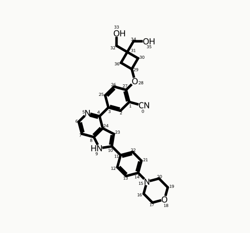 N#Cc1cc(-c2nccc3[nH]c(-c4ccc(N5CCOCC5)cc4)cc23)ccc1OC1CC(CO)(CO)C1